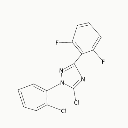 Fc1cccc(F)c1-c1nc(Cl)n(-c2ccccc2Cl)n1